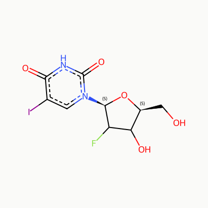 O=c1[nH]c(=O)n([C@H]2O[C@@H](CO)C(O)C2F)cc1I